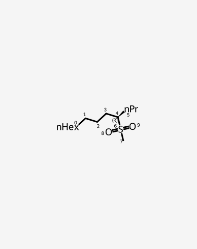 CCCCCCCCC[C@@H](CCC)S(C)(=O)=O